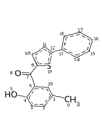 Cc1ccc(O)c(C(=O)c2ccc(-c3ccccc3)s2)c1